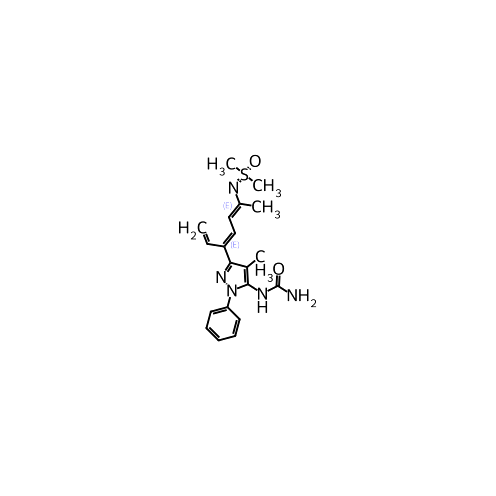 C=C/C(=C\C=C(/C)N=S(C)(C)=O)c1nn(-c2ccccc2)c(NC(N)=O)c1C